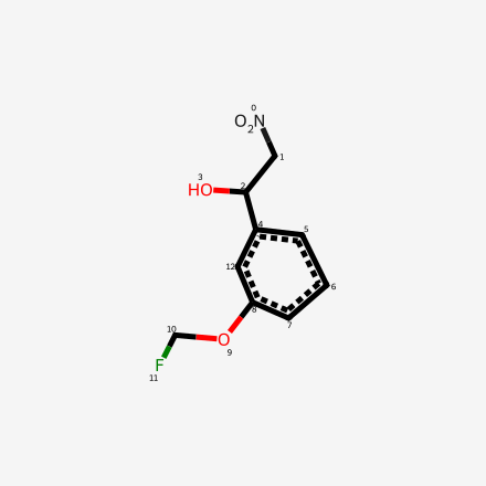 O=[N+]([O-])CC(O)c1cccc(OCF)c1